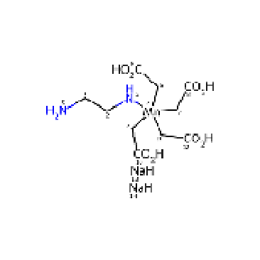 NCC[NH][Mn]([CH2]C(=O)O)([CH2]C(=O)O)([CH2]C(=O)O)[CH2]C(=O)O.[NaH].[NaH]